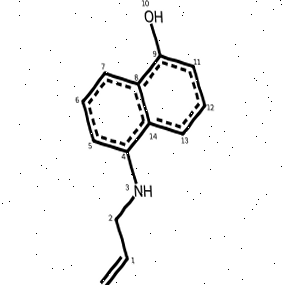 C=CCNc1cccc2c(O)cccc12